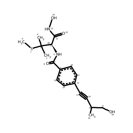 CSC(C)(C)[C@H](NC(=O)c1ccc(C#CC(C)CO)cc1)C(=O)NO